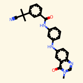 Cn1cnc2ccc(Nc3cccc(NC(=O)c4cccc(C(C)(C)C#N)c4)c3)cc2c1=O